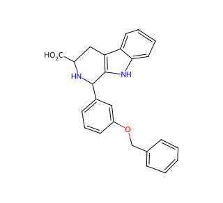 O=C(O)C1Cc2c([nH]c3ccccc23)C(c2cccc(OCc3ccccc3)c2)N1